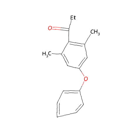 CCC(=O)c1c(C)cc(Oc2ccccc2)cc1C